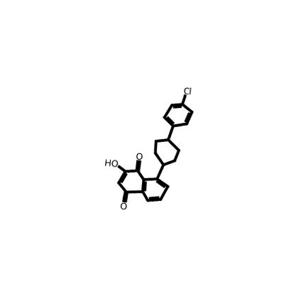 O=C1C=C(O)C(=O)c2c1cccc2C1CCC(c2ccc(Cl)cc2)CC1